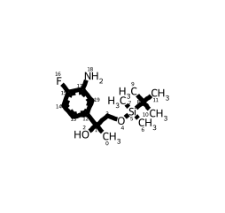 CC(O)(CO[Si](C)(C)C(C)(C)C)c1ccc(F)c(N)c1